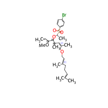 C=C[C@H](OC)[C@@H](OC(C)S(=O)(=O)c1ccc(Br)cc1)[C@H](C)/C=C(/C)COC/C=C(\C)CCC=C(C)C